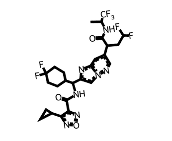 CC(NC(=O)C(CC(F)F)c1cnn2cc(C(NC(=O)c3nonc3C3CC3)C3CCC(F)(F)CC3)nc2c1)C(F)(F)F